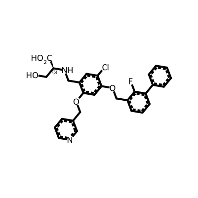 O=C(O)[C@H](CO)NCc1cc(Cl)c(OCc2cccc(-c3ccccc3)c2F)cc1OCc1cccnc1